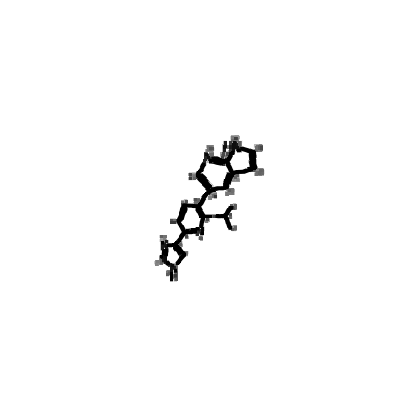 CC(C)c1nc(-c2c[nH]nn2)ccc1-c1cnc2[nH]ccc2c1